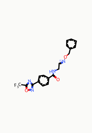 O=C(NC/C=N/OCc1ccccc1)c1ccc(-c2noc(C(F)(F)F)n2)cc1